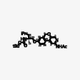 CC(=O)Nc1cc2c(cn1)OCc1cc(OC[C@](C)(CC(C)C)NC(=O)OC(C)(C)C)ccc1-2